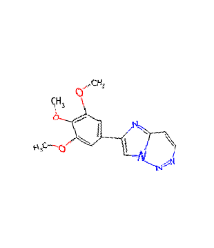 COc1cc(-c2cn3nnccc3n2)cc(OC)c1OC